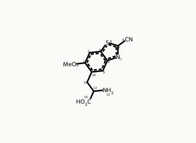 COc1cc2sc(C#N)nc2cc1CC(N)C(=O)O